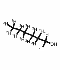 [2H]C([2H])([2H])C([2H])([2H])C([2H])([2H])C([2H])([2H])C([2H])([2H])C([2H])([2H])O